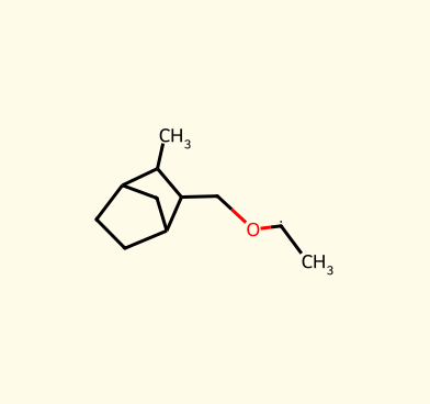 C[CH]OCC1C2CCC(C2)C1C